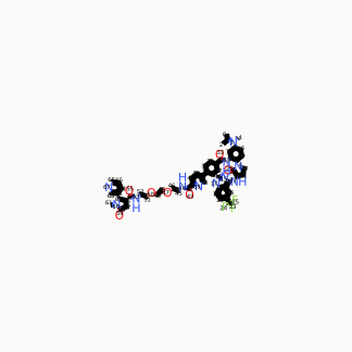 CC(C)N(C)[C@@H]1CC[C@H](N2CC[C@H](Nc3ncnc4ccc(C(F)(F)F)cc34)C2=O)[C@H](NC(=O)C2CCC(c3ccc(C(=O)NCCOCCOCCNC(=O)[C@H]4CC(=O)N(C)[C@@H]4c4cccnc4)nc3)CC2)C1